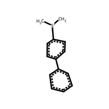 C[S+](C)c1ccc(-c2ccccc2)cc1